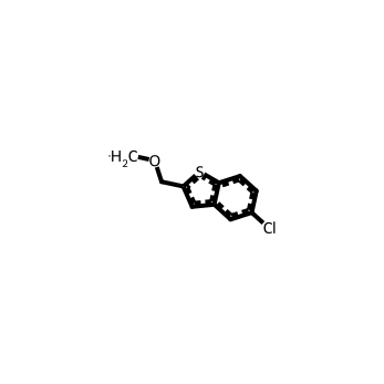 [CH2]OCc1cc2cc(Cl)ccc2s1